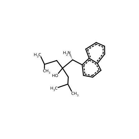 CC(C)CC(O)(CC(C)C)[C@H](N)c1cccc2ccccc12